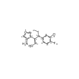 CCN(C(=NO)c1nonc1N)c1ccc(F)c(Cl)c1